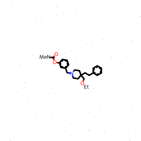 CCOCC1(CCc2ccccc2)CCN(Cc2cccc(OC(=O)NC)c2)CC1